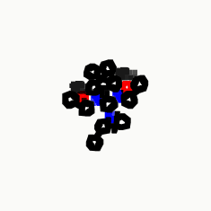 CC(C)(C)c1cccc2c1oc1c(N3c4cc(N5c6ccc(-c7ccccc7)cc6C6(C)CCCCC56C)cc5c4B4c6c3cccc6C(c3ccccc3)(c3ccccc3)c3cccc(c34)N5c3cccc4c3oc3c(C(C)(C)C)cccc34)cccc12